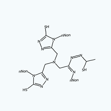 CCCCCCCCC/N=C(CN(Cc1nnc(S)n1CCCCCCCCC)Cc1nnc(S)n1CCCCCCCCC)/N=N\C(C)S